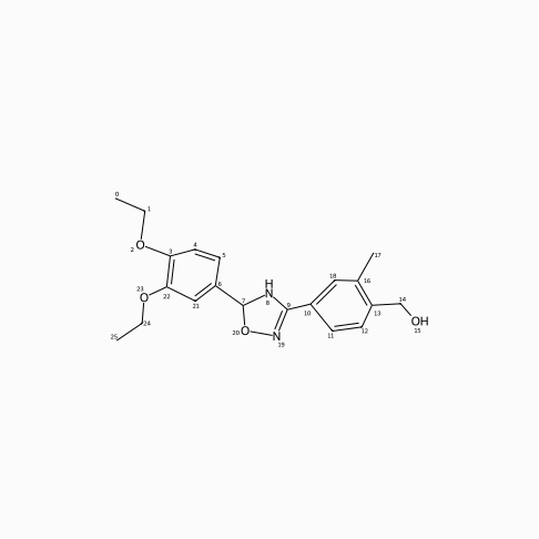 CCOc1ccc(C2NC(c3ccc(CO)c(C)c3)=NO2)cc1OCC